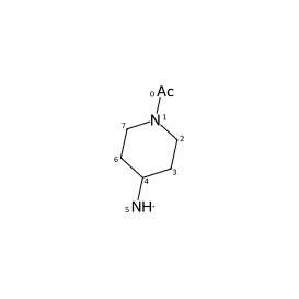 CC(=O)N1CCC([NH])CC1